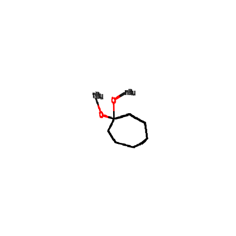 CCCCOC1(OCCCC)CCCCCC1